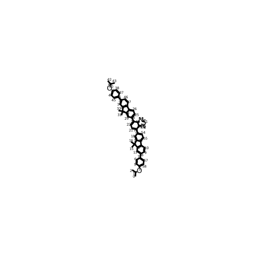 CC(C)Oc1ccc(-c2ccc3c(c2)C(C)(C)c2cc(-c4ccc(-c5ccc6c(c5)C(C)(C)c5cc(-c7ccc(OC(C)C)cc7)ccc5-6)c5nsnc45)ccc2-3)cc1